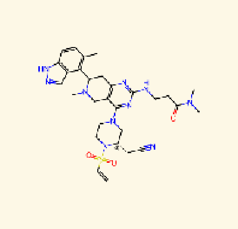 C=CS(=O)(=O)N1CCN(c2nc(NCCC(=O)N(C)C)nc3c2CN(C)C(c2c(C)ccc4[nH]ncc24)C3)C[C@@H]1CC#N